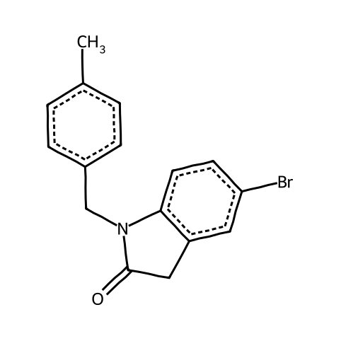 Cc1ccc(CN2C(=O)Cc3cc(Br)ccc32)cc1